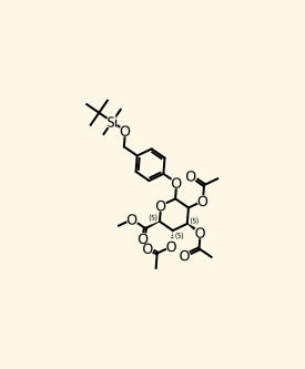 COC(=O)[C@H]1OC(Oc2ccc(CO[Si](C)(C)C(C)(C)C)cc2)C(OC(C)=O)[C@@H](OC(C)=O)[C@@H]1OC(C)=O